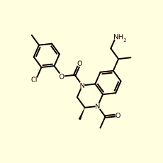 CC(=O)N1c2ccc(C(C)CN)cc2N(C(=O)Oc2ccc(C)cc2Cl)C[C@@H]1C